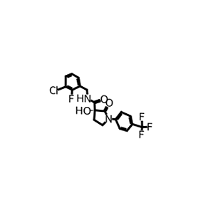 O=C(NCc1cccc(Cl)c1F)[C@]1(O)CCN(c2ccc(C(F)(F)F)cc2)C1=O